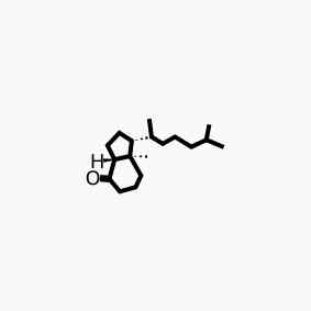 CC(C)CCCC(C)[C@H]1CC[C@H]2C(=O)CCC[C@]12C